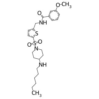 CCCCCCNC1CCN(S(=O)(=O)c2ccc(CNC(=O)c3cccc(OC)c3)s2)CC1